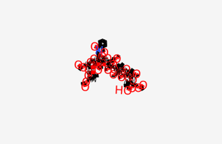 COCC1O[C@@H](O[C@H]2C(C)C(C)[C@@H](O[C@H]3C(C)C(OC)[C@H](O[C@@H]4C(COC(C)=O)OC(O)C(C)[C@H]4C)O[C@H]3COC)O[C@H]2COC)C(OC)[C@@H](C)[C@@H]1O[C@@H]1OC(CN2C(=O)c3ccccc3C2=O)[C@@H](O[C@@H]2O[C@@H](COC(C)=O)[C@@H](O[C@H]3O[C@@H](COC(C)=O)[C@@H](C)C(C)C3C)C(C)C2OC(C)=O)[C@H](C)C1C